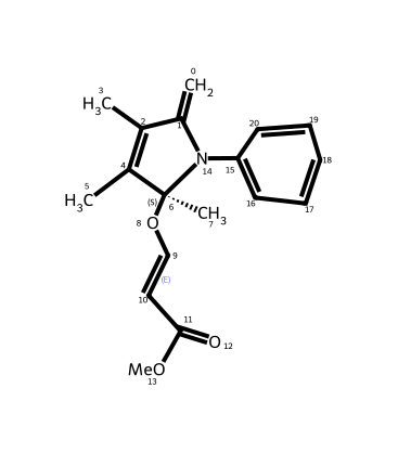 C=C1C(C)=C(C)[C@](C)(O/C=C/C(=O)OC)N1c1ccccc1